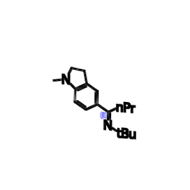 CCC/C(=N\C(C)(C)C)c1ccc2c(c1)CCN2C